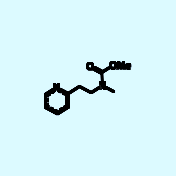 COC(=O)N(C)CCc1ccccn1